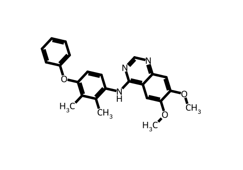 COc1cc2ncnc(Nc3ccc(Oc4ccccc4)c(C)c3C)c2cc1OC